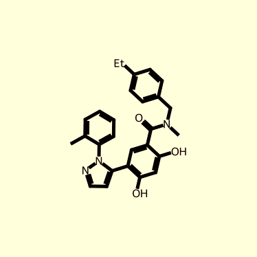 CCc1ccc(CN(C)C(=O)c2cc(-c3ccnn3-c3ccccc3C)c(O)cc2O)cc1